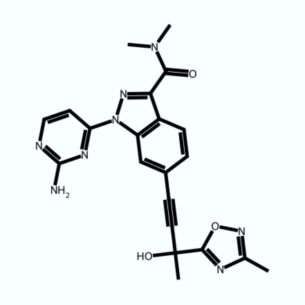 Cc1noc(C(C)(O)C#Cc2ccc3c(C(=O)N(C)C)nn(-c4ccnc(N)n4)c3c2)n1